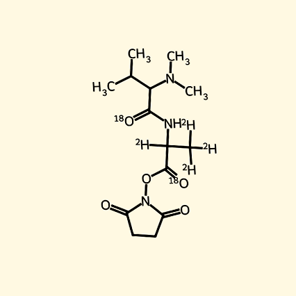 [2H]C([2H])([2H])C([2H])(NC(=[18O])C(C(C)C)N(C)C)C(=[18O])ON1C(=O)CCC1=O